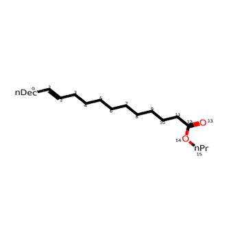 CCCCCCCCCCC=CCCCCCCCCCC(=O)OCCC